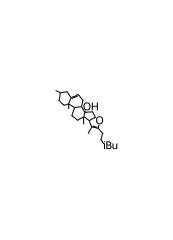 CCC(C)CCC1=C(C)C2C(CC3(O)C4CC=C5CC(C)CCC5(C)C4CCC23C)O1